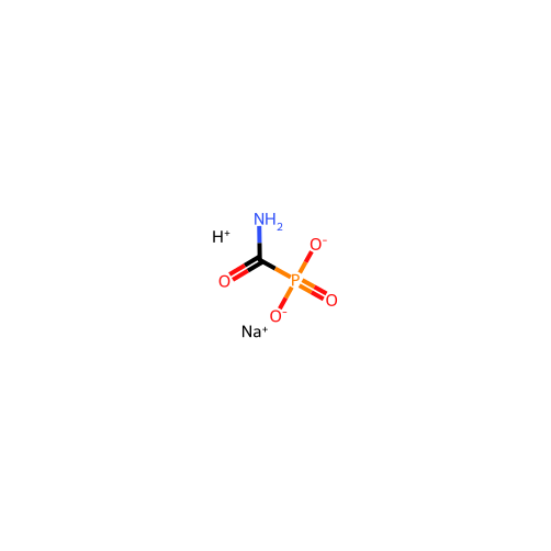 NC(=O)P(=O)([O-])[O-].[H+].[Na+]